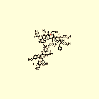 CC(C)C[C@H](NC(=O)[C@H](Cc1ccc(O)cc1)NC(=O)[C@H](CO)NC(=O)[C@@H](N)CO)C(=O)N[C@@H](CCC(=O)O)C(=O)NCC(=O)N[C@@H](CCC(N)=O)C(=O)N[C@@H](C)C(=O)N[C@@H](C)C(=O)N[C@@H](CCCCN)C(=O)N[C@@H](CCC(=O)O)C(=O)N[C@@H](Cc1ccccc1)C(=O)O